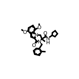 COc1ccc(OC)c2c1cc1n2CC(C)(C(=O)NC2CCCC2)N(Cc2ccccc2C)C1=O